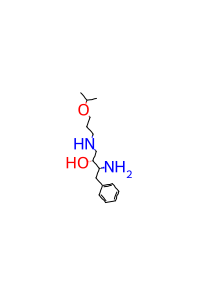 CC(C)OCCCNC[C@@H](O)[C@@H](N)Cc1ccccc1